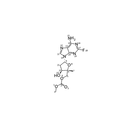 COC(=O)OC[C@@]1(C)O[C@@H](n2cnc3c(N)nc(F)nc32)C[C@@H]1O